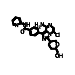 Nc1ncc(Cl)n2c(C3CCC(CO)OC3)nc(-c3ccc(C(=O)Nc4ccccn4)cc3)c12